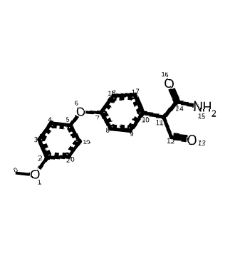 COc1ccc(Oc2ccc(C(C=O)C(N)=O)cc2)cc1